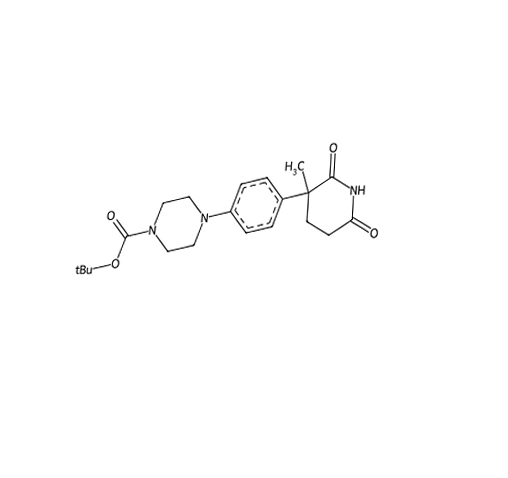 CC(C)(C)OC(=O)N1CCN(c2ccc(C3(C)CCC(=O)NC3=O)cc2)CC1